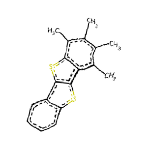 Cc1c(C)c(C)c2c(sc3c4ccccc4sc32)c1C